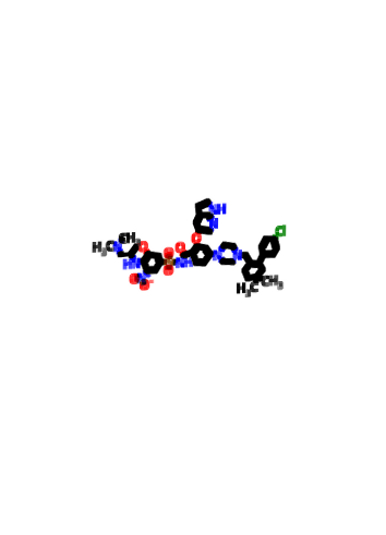 CN(C)C[C@H]1COc2cc(S(=O)(=O)NC(=O)c3ccc(N4CCN(CC5=C(c6ccc(Cl)cc6)CC(C)(C)CC5)CC4)cc3Oc3cnc4[nH]ccc4c3)cc([N+](=O)[O-])c2N1